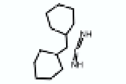 C1CCC(CC2CCCCC2)CC1.N=C=N